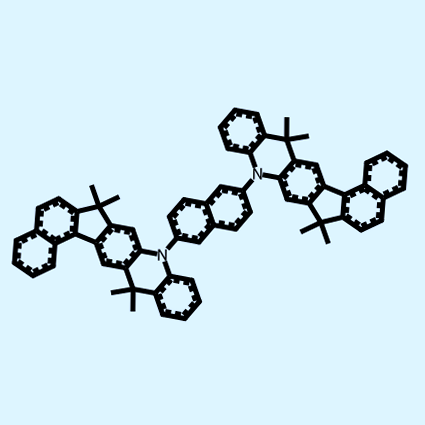 CC1(C)c2ccccc2N(c2ccc3cc(N4c5ccccc5C(C)(C)c5cc6c(cc54)C(C)(C)c4ccc5ccccc5c4-6)ccc3c2)c2cc3c(cc21)-c1c(ccc2ccccc12)C3(C)C